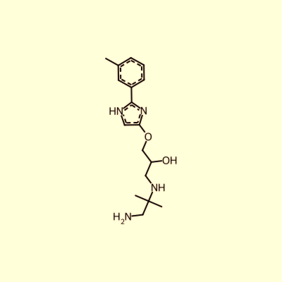 Cc1cccc(-c2nc(OCC(O)CNC(C)(C)CN)c[nH]2)c1